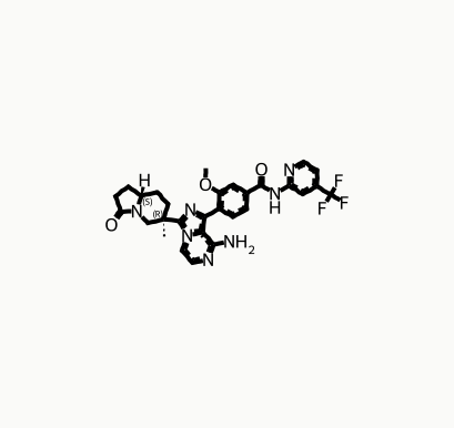 COc1cc(C(=O)Nc2cc(C(F)(F)F)ccn2)ccc1-c1nc([C@]2(C)CC[C@H]3CCC(=O)N3C2)n2ccnc(N)c12